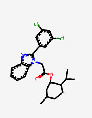 CC1CCC(C(C)C)[C@H](OC(=O)Cn2c(-c3cc(Cl)cc(Cl)c3)nc3ccccc32)C1